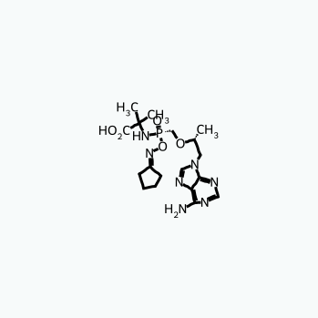 C[C@H](Cn1cnc2c(N)ncnc21)OC[P@@](=O)(NC(C)(C)C(=O)O)ON=C1CCCC1